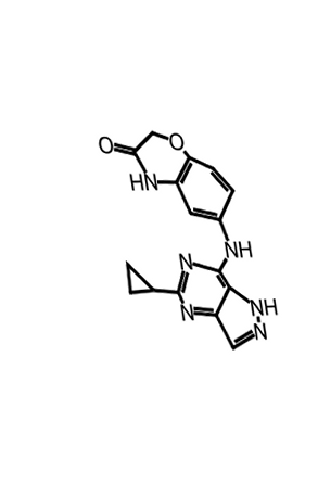 O=C1COc2ccc(Nc3nc(C4CC4)nc4cn[nH]c34)cc2N1